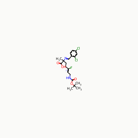 CC(C)(C)OC(=O)NC/C=C(\F)CCC(C)(N=Cc1ccc(Cl)cc1Cl)C(=O)O